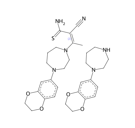 C/C(=C(\C#N)C(N)=S)N1CCCN(c2ccc3c(c2)OCCO3)CC1.c1cc2c(cc1N1CCCNCC1)OCCO2